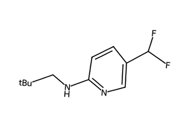 CC(C)(C)CNc1ccc(C(F)F)cn1